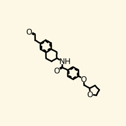 O=CCc1ccc2c(c1)CCC(NC(=O)c1ccc(OCC3CCCO3)cc1)C2